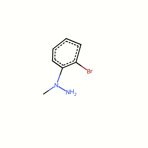 CN(N)c1ccccc1Br